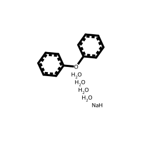 O.O.O.O.[NaH].c1ccc(Oc2ccccc2)cc1